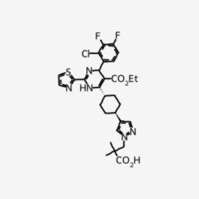 CCOC(=O)C1=C([C@H]2CC[C@H](c3cnn(CC(C)(C)C(=O)O)c3)CC2)NC(c2nccs2)=NC1c1ccc(F)c(F)c1Cl